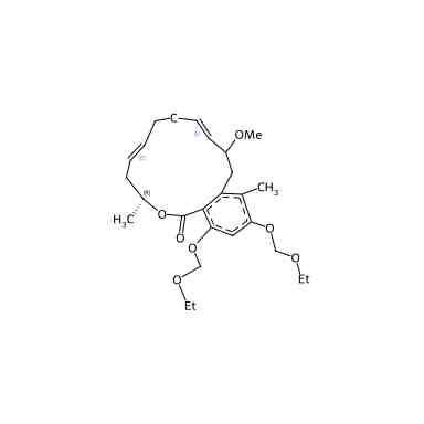 CCOCOc1cc(OCOCC)c2c(c1C)CC(OC)/C=C/CC/C=C/C[C@@H](C)OC2=O